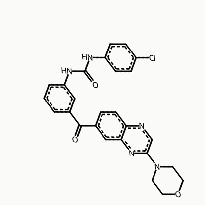 O=C(Nc1ccc(Cl)cc1)Nc1cccc(C(=O)c2ccc3ncc(N4CCOCC4)nc3c2)c1